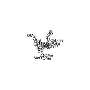 CC(C)C(=O)OCC(=O)OC[C@H]1O[C@H](O[C@]2(CO)O[C@H](CO)[C@@H](O)[C@@H]2O)[C@H](O)[C@@H](O)[C@@H]1O.COC(=O)[C@H]1[C@H]2C[C@@H]3c4[nH]c5cc(OC)ccc5c4CCN3C[C@H]2C[C@@H](OC(=O)c2cc(OC)c(OC)c(OC)c2)[C@@H]1OC